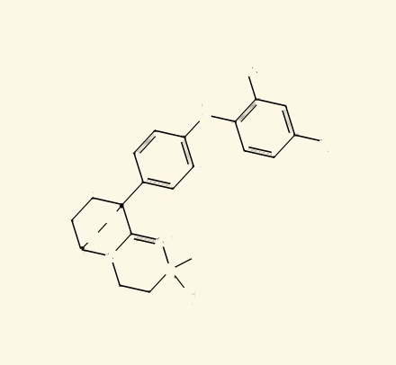 N#Cc1cc(Br)ccc1Oc1ccc(C23CCC(CC2)N2CCS(O)(O)N=C23)cc1